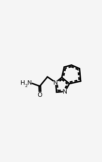 NC(=O)Cn1cnc2ccccc21